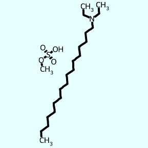 CCCCCCCCCCCCCCCCCN(CC)CC.COS(=O)(=O)O